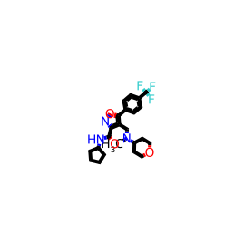 CN(Cc1c(C(=O)NC2CCCC2)noc1-c1ccc(C(F)(F)F)cc1)C1CCOCC1